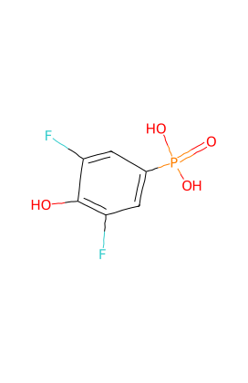 O=P(O)(O)c1cc(F)c(O)c(F)c1